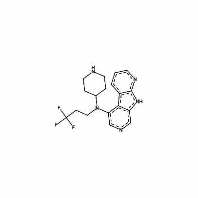 FC(F)(F)CCN(c1cncc2[nH]c3ncccc3c12)C1CCNCC1